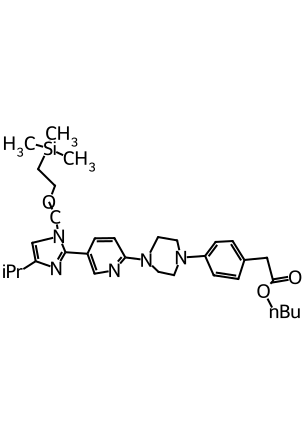 CCCCOC(=O)Cc1ccc(N2CCN(c3ccc(-c4nc(C(C)C)cn4COCC[Si](C)(C)C)cn3)CC2)cc1